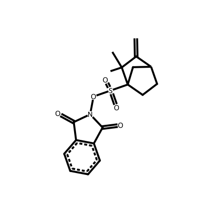 C=C1C2CCC(S(=O)(=O)ON3C(=O)c4ccccc4C3=O)(C2)C1(C)C